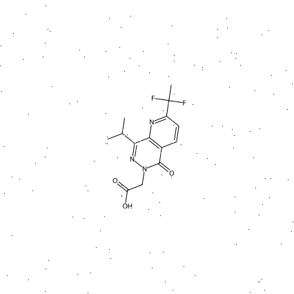 CC(C)c1nn(CC(=O)O)c(=O)c2ccc(C(C)(F)F)nc12